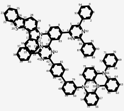 c1ccc(-c2cc(-c3ccc(-n4c5ccccc5c5c6sc7ccccc7c6ccc54)c(-c4nc(-c5ccccc5)nc(-c5ccc(-c6cccc(N7c8ccccc8B8c9ccccc9N(c9ccccc9)c9cccc7c98)c6)cc5)n4)c3)nc(-c3ccccc3)n2)cc1